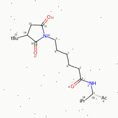 CC(=O)[C@@H](NC(=O)CCCCCN1C(=O)CC(C(C)(C)C)C1=O)C(C)C